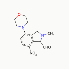 CN1Cc2c(N3CCOCC3)ccc([N+](=O)[O-])c2C1C=O